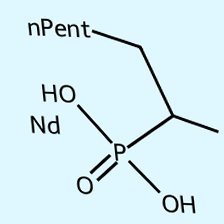 CCCCCCC(C)P(=O)(O)O.[Nd]